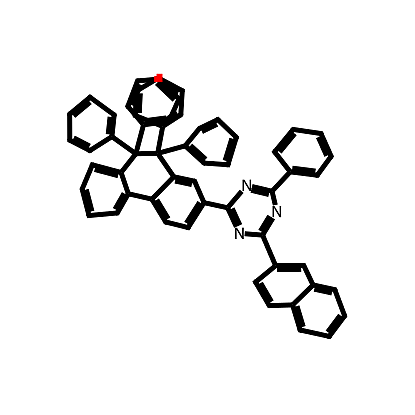 c1ccc(-c2nc(-c3ccc4c(c3)C(c3ccccc3)(c3ccccc3)C(c3ccccc3)(c3ccccc3)c3ccccc3-4)nc(-c3ccc4ccccc4c3)n2)cc1